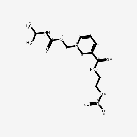 CC(C)NC(=O)OCN1C=CC=C(C(=O)NCCO[N+](=O)[O-])C1